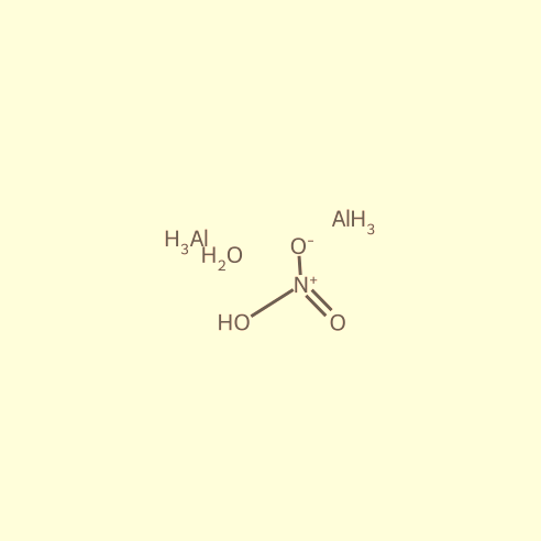 O.O=[N+]([O-])O.[AlH3].[AlH3]